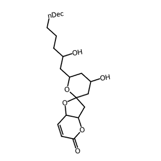 CCCCCCCCCCCCCC(O)CC1CC(O)CC2(CC3OC(=O)C=CC3O2)O1